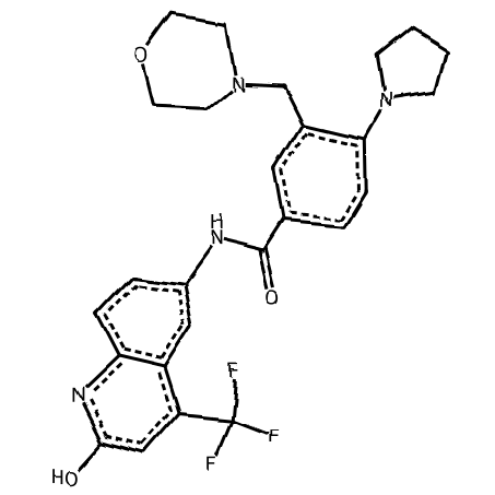 O=C(Nc1ccc2nc(O)cc(C(F)(F)F)c2c1)c1ccc(N2CCCC2)c(CN2CCOCC2)c1